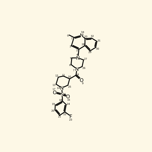 Cc1cc(N2CCN(C(=O)C3CCCN(S(=O)(=O)c4cccc(F)c4)C3)CC2)c2ccccc2n1